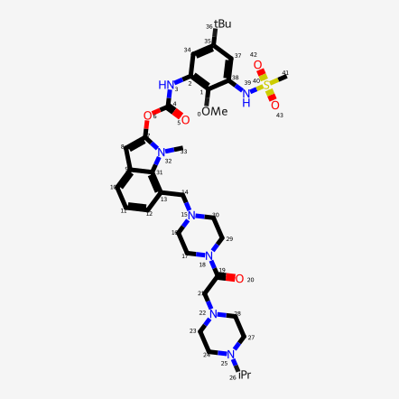 COc1c(NC(=O)Oc2cc3cccc(CN4CCN(C(=O)CN5CCN(C(C)C)CC5)CC4)c3n2C)cc(C(C)(C)C)cc1NS(C)(=O)=O